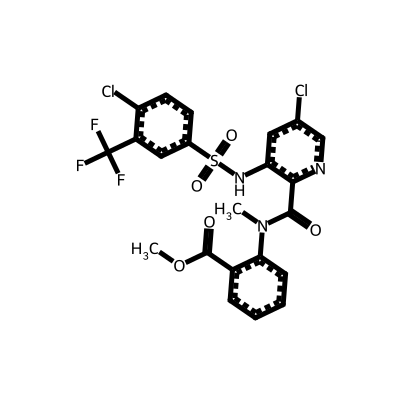 COC(=O)c1ccccc1N(C)C(=O)c1ncc(Cl)cc1NS(=O)(=O)c1ccc(Cl)c(C(F)(F)F)c1